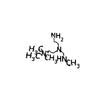 CNCN(CCN)CC[N+](C)(C)C